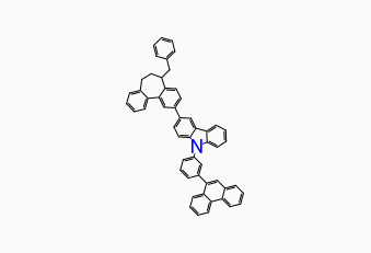 c1ccc(CC2CCc3ccccc3-c3cc(-c4ccc5c(c4)c4ccccc4n5-c4cccc(-c5cc6ccccc6c6ccccc56)c4)ccc32)cc1